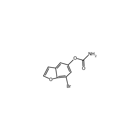 NC(=O)Oc1cc(Br)c2occc2c1